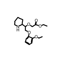 CCOC(=O)COC(COc1ccccc1OCC)C1CCCCN1